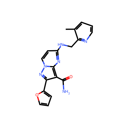 Cc1cccnc1CNc1ccn2nc(-c3ccco3)c(C(N)=O)c2n1